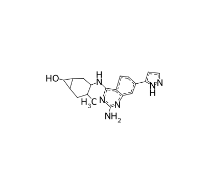 CC1CC2C(O)C2CC1Nc1nc(N)nc2cc(-c3ccn[nH]3)ccc12